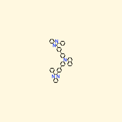 c1ccc(-c2nc3ccccc3nc2-c2ccc(-c3ccc(N(c4ccc(-c5ccc(-c6nc7ccccc7nc6-c6ccccc6)cc5)cc4)c4cccc5ccccc45)cc3)cc2)cc1